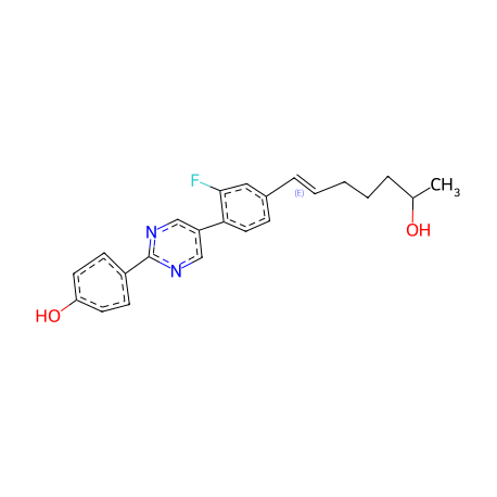 CC(O)CCC/C=C/c1ccc(-c2cnc(-c3ccc(O)cc3)nc2)c(F)c1